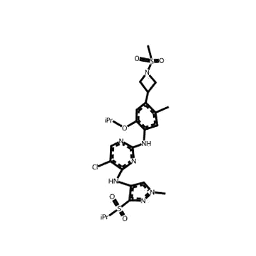 Cc1cc(Nc2ncc(Cl)c(Nc3cn(C)nc3S(=O)(=O)C(C)C)n2)c(OC(C)C)cc1C1CN(S(C)(=O)=O)C1